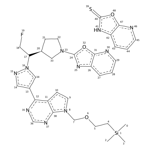 C[Si](C)(C)CCOCn1ccc2c(-c3cnn(C(CF)[C@H]4CCN(c5nc6cccnc6o5)C4)c3)ncnc21.S=c1[nH]c2cccnc2o1